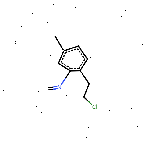 C=Nc1cc(C)ccc1CCCl